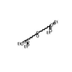 CCOCOCC(CCCCCCCCOC(=O)CCCCCCCC(COCOCC)OCOCC)OCOCC